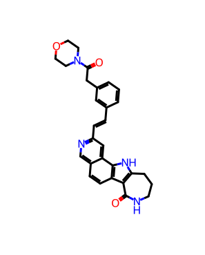 O=C1NCCCc2[nH]c3c(ccc4cnc(C=Cc5cccc(CC(=O)N6CCOCC6)c5)cc43)c21